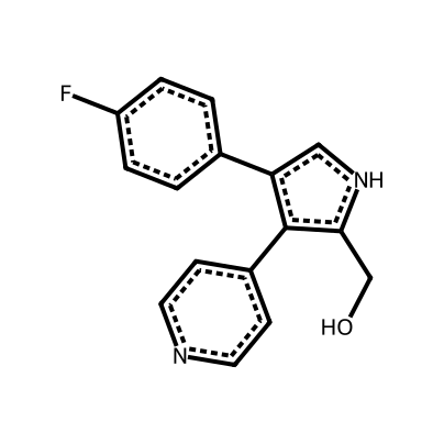 OCc1[nH]cc(-c2ccc(F)cc2)c1-c1ccncc1